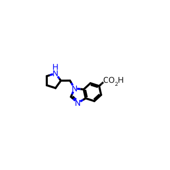 O=C(O)c1ccc2ncn(CC3CCCN3)c2c1